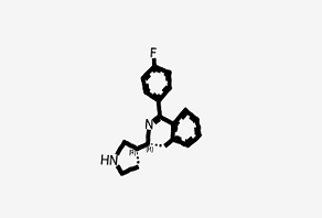 Fc1ccc(C2=N[C@@H]([C@@H]3CCNC3)Cc3ccccc32)cc1